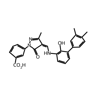 CC1=NN(c2cccc(C(=O)O)c2)C(=O)/C1=C\Nc1cccc(-c2ccc(C)c(C)c2)c1O